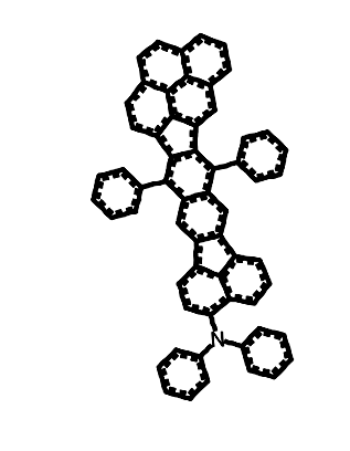 c1ccc(-c2c3cc4c(cc3c(-c3ccccc3)c3c5cc6cccc7ccc8ccc(c23)c5c8c76)c2cccc3c(N(c5ccccc5)c5ccccc5)ccc4c32)cc1